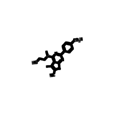 Cc1c(C#N)sc2nc(-c3ccc(C(=O)O)cc3)nc(N(C)CCO)c12